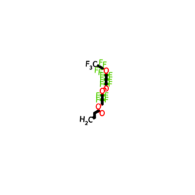 C=CCC(=O)OCC(F)(F)C(F)(F)OOC(F)(F)C(F)(F)C(F)(F)OC(F)(F)C(F)(F)C(F)(F)F